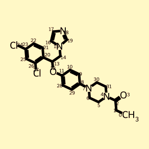 CCC(=O)N1CCN(c2ccc(OC(Cn3ccnc3)c3ccc(Cl)cc3Cl)cc2)CC1